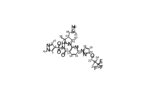 Cc1nn(C)cc1S(=O)(=O)NC(=O)c1ccc(-n2ccc(OCC(C)(C)C(F)(F)F)n2)nc1N1C[C@@H](C)C(C[SiH](C)C)C1C